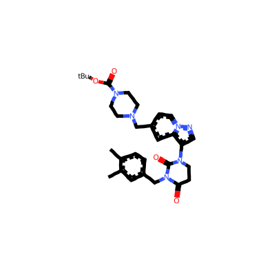 Cc1ccc(CN2C(=O)CCN(c3cnn4ccc(CN5CCN(C(=O)OC(C)(C)C)CC5)cc34)C2=O)cc1C